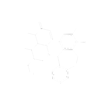 C[C@@H](N1CN([C@H]2c3ccccc3SCc3c2ccc(F)c3F)N2C=CC(=O)C(O)C2C1O)C(F)(F)F